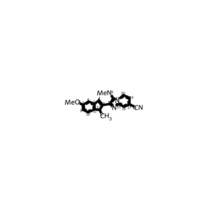 CNc1c(C2=Cc3cc(OC)ccc3C2C)nc2cc(C#N)ccn12